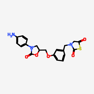 Nc1ccc(N2CC(COc3cccc(CN4CC(=O)SC4=O)c3)OC2=O)cc1